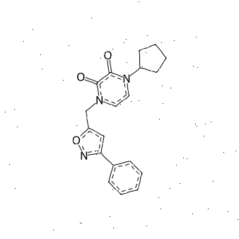 O=c1c(=O)n(C2CCCC2)ccn1Cc1cc(-c2ccccc2)no1